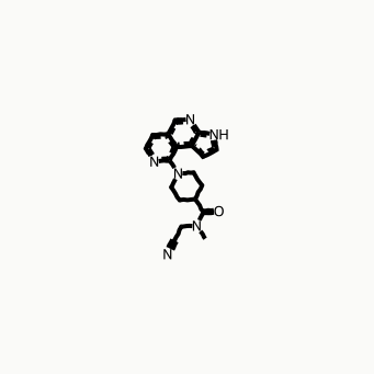 CN(CC#N)C(=O)C1CCN(c2nccc3cnc4[nH]ccc4c23)CC1